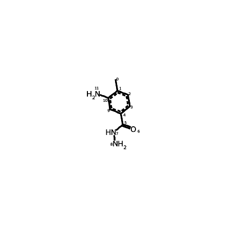 Cc1ccc(C(=O)NN)cc1N